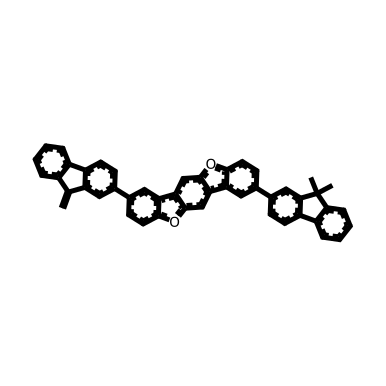 C=C1c2ccccc2-c2ccc(-c3ccc4oc5cc6c(cc5c4c3)oc3ccc(-c4ccc5c(c4)C(C)(C)c4ccccc4-5)cc36)cc21